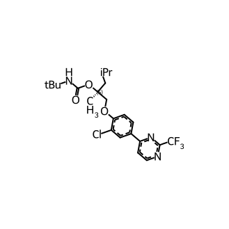 CC(C)C[C@@](C)(COc1ccc(-c2ccnc(C(F)(F)F)n2)cc1Cl)OC(=O)NC(C)(C)C